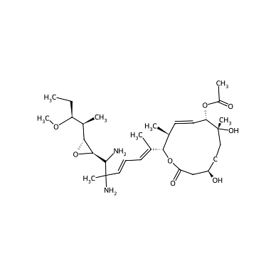 CC[C@H](OC)[C@@H](C)[C@H]1O[C@@H]1C(N)C(C)(N)/C=C/C=C(\C)[C@H]1OC(=O)C[C@H](O)CC[C@@](C)(O)[C@@H](OC(C)=O)/C=C/[C@@H]1C